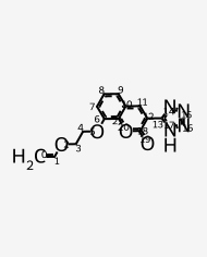 C=COCCOc1cccc2cc(-c3nnn[nH]3)c(=O)oc12